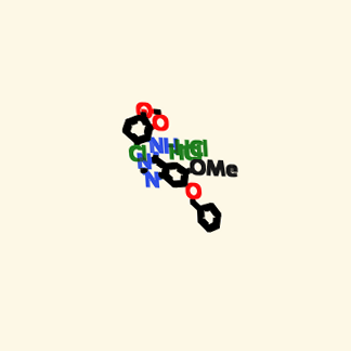 COc1cc2c(Nc3c(Cl)ccc4c3OCO4)ncnc2cc1OCc1ccccc1.Cl.Cl